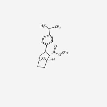 COC(=O)[C@@H]1[C@H]2CCC(C[C@H]1c1ccc(C(C)C)cc1)O2